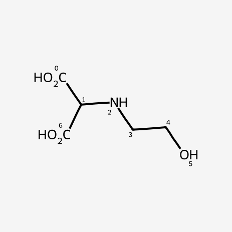 O=C(O)C(NCCO)C(=O)O